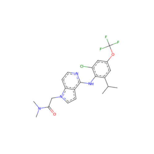 CC(C)c1cc(OC(F)(F)F)cc(Cl)c1Nc1nccc2c1ccn2CC(=O)N(C)C